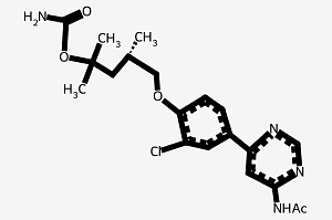 CC(=O)Nc1cc(-c2ccc(OC[C@@H](C)CC(C)(C)OC(N)=O)c(Cl)c2)ncn1